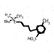 Cc1ccc(S(=O)(=O)O)c(CCCCO[Si](C)(C)C(C)(C)C)c1